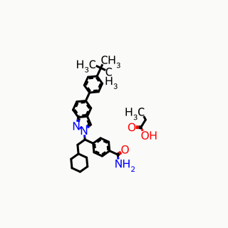 CC(C)(C)c1ccc(-c2ccc3nn(C(CC4CCCCC4)c4ccc(C(N)=O)cc4)cc3c2)cc1.CCC(=O)O